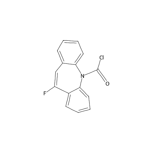 O=C(Cl)N1c2ccccc2C=C(F)c2ccccc21